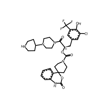 O=C1Nc2ccccc2C2(CCN(C(=O)O[C@H](Cc3cc(Cl)c(O)c(C(F)(F)F)c3)C(=O)N3CCN(C4CCNCC4)CC3)CC2)O1